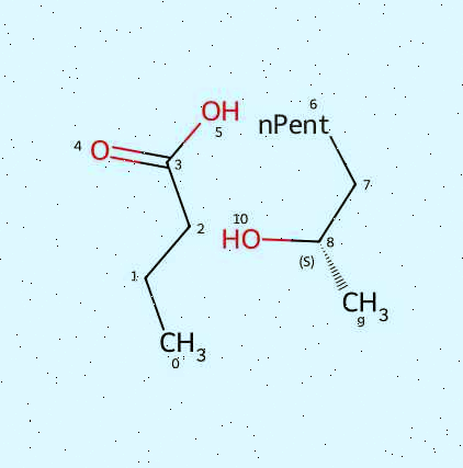 CCCC(=O)O.CCCCCC[C@H](C)O